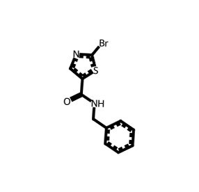 O=C(NCc1ccccc1)c1cnc(Br)s1